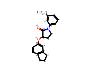 O=C(O)c1cccc(N2CCC(Oc3ccc4c(c3)CCC4)C2=O)c1